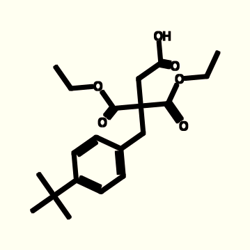 CCOC(=O)C(CC(=O)O)(Cc1ccc(C(C)(C)C)cc1)C(=O)OCC